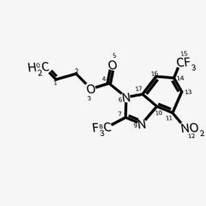 C=CCOC(=O)n1c(C(F)(F)F)nc2c([N+](=O)[O-])cc(C(F)(F)F)cc21